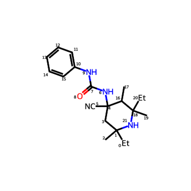 CCC1(C)CC(C#N)(NC(=O)Nc2ccccc2)C(C)C(C)(CC)N1